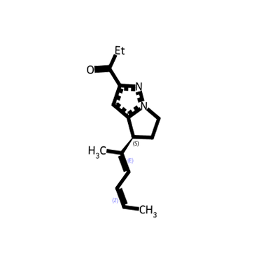 C/C=C\C=C(/C)[C@@H]1CCn2nc(C(=O)CC)cc21